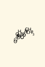 CN(C)Cc1ccc2cccc(NS(=O)(=O)CC3CCOCC3)c2n1